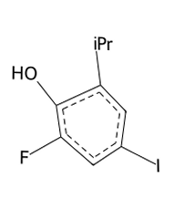 CC(C)c1cc(I)cc(F)c1O